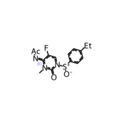 CCc1ccc([S+]([O-])n2cc(F)/c(=N\C(C)=O)n(C)c2=O)cc1